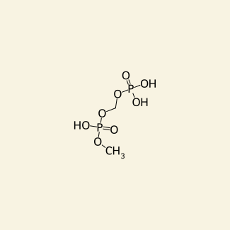 COP(=O)(O)OCOP(=O)(O)O